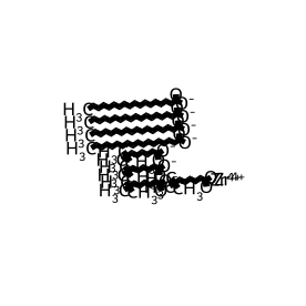 CC(C)(C)CCCCCC(=O)[O-].CC(C)(C)CCCCCC(=O)[O-].CC(C)(C)CCCCCC(=O)[O-].CC(C)(C)CCCCCC(=O)[O-].CCCCCCCCCCCCCCCCCC(=O)[O-].CCCCCCCCCCCCCCCCCC(=O)[O-].CCCCCCCCCCCCCCCCCC(=O)[O-].CCCCCCCCCCCCCCCCCC(=O)[O-].[Zr+4].[Zr+4]